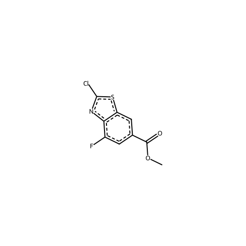 COC(=O)c1cc(F)c2nc(Cl)sc2c1